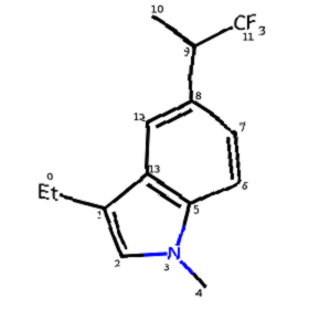 CCc1cn(C)c2ccc(C(C)C(F)(F)F)cc12